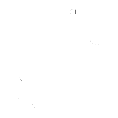 O=[N+]([O-])c1cc(-c2cnns2)ccc1O